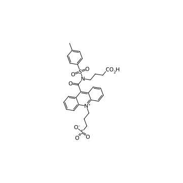 Cc1ccc(S(=O)(=O)N(CCCC(=O)O)C(=O)c2c3ccccc3[n+](CCCS(=O)(=O)[O-])c3ccccc23)cc1